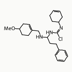 COC1CC=C(CNC(CCc2ccccc2)N/C(Cl)=N\C2CC=CCC2)CC1